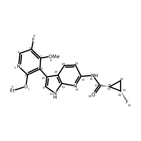 CCOc1ncc(F)c(OC)c1-c1c[nH]c2nc(NC(=O)[C@@H]3C[C@@H]3F)ccc12